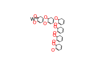 O=C1CC=CC=C1[O-].O=C1CC=CC=C1[O-].O=C1CC=CC=C1[O-].O=C1CC=CC=C1[O-].O=C1CC=CC=C1[O-].O=C1CC=CC=C1[O-].[W+6]